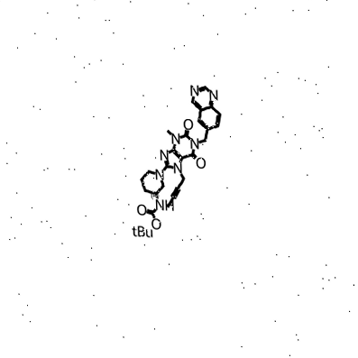 CC#CCn1c(N2CCC[C@@H](NC(=O)OC(C)(C)C)C2)nc2c1c(=O)n(Cc1ccc3ncncc3c1)c(=O)n2C